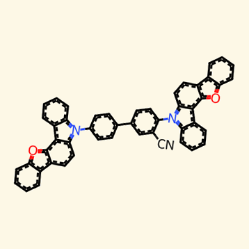 N#Cc1cc(-c2ccc(-n3c4ccccc4c4c5oc6ccccc6c5ccc43)cc2)ccc1-n1c2ccccc2c2c3oc4ccccc4c3ccc21